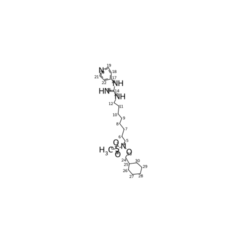 CS(=O)(=O)N(CCCCCCCCNC(=N)Nc1ccncc1)OCC1CCCCC1